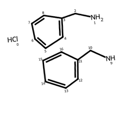 Cl.NCc1ccccc1.NCc1ccccc1